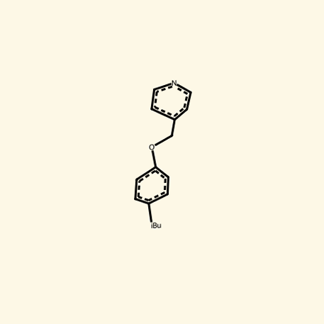 CCC(C)c1ccc(OCc2ccncc2)cc1